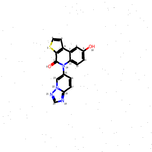 O=c1c2sccc2c2cc(O)ccc2n1-c1ccc2ncnn2c1